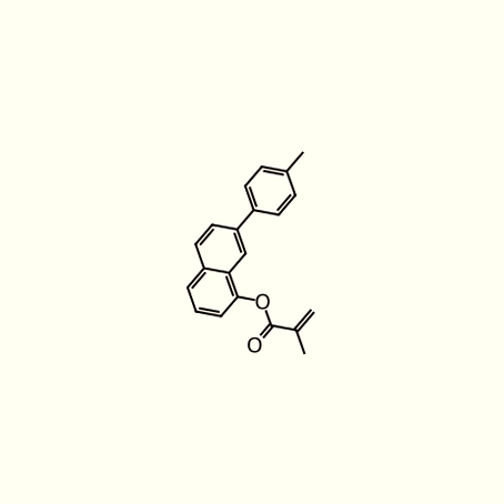 C=C(C)C(=O)Oc1cccc2ccc(-c3ccc(C)cc3)cc12